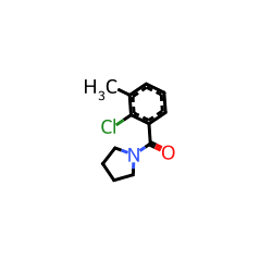 Cc1cccc(C(=O)N2CCCC2)c1Cl